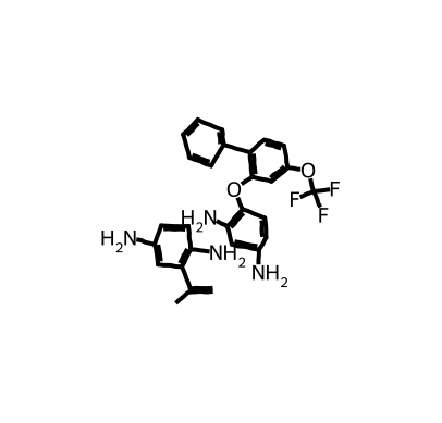 C=C(C)c1cc(N)ccc1N.Nc1ccc(Oc2cc(OC(F)(F)F)ccc2-c2ccccc2)c(N)c1